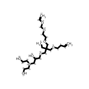 C=CCCOCC(CC)(COCCOCOC=C)COCC(O)CN(CCO)CCO